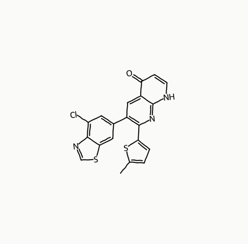 Cc1ccc(-c2nc3[nH]ccc(=O)c3cc2-c2cc(Cl)c3ncsc3c2)s1